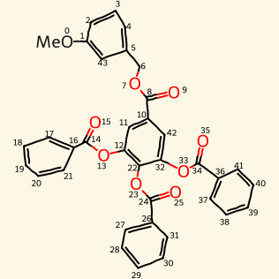 COc1cccc(COC(=O)c2cc(OC(=O)c3ccccc3)c(OC(=O)c3ccccc3)c(OC(=O)c3ccccc3)c2)c1